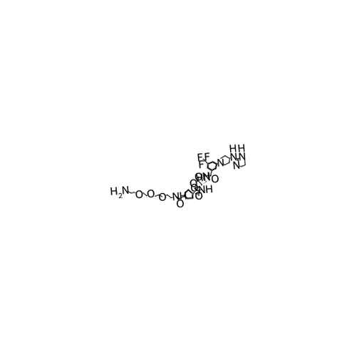 NCCOCCOCCOCCNC(=O)c1ccc(S(=O)(=O)N[C@@H](CNC(=O)c2cc(N3CCC(NC4=NCCCN4)CC3)cc(C(F)(F)F)c2)C(=O)O)cc1